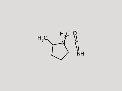 CC1CCCN1C.N=C=O